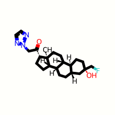 C[C@]12CC[C@H]3[C@@H](CC[C@H]4C[C@](O)(CF)CC[C@@H]43)[C@@H]1CC[C@@H]2C(=O)Cn1nccn1